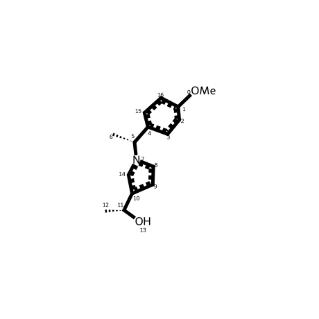 COc1ccc([C@@H](C)n2ccc([C@@H](C)O)c2)cc1